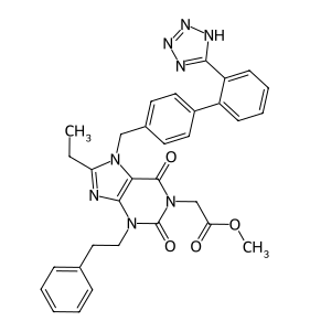 CCc1nc2c(c(=O)n(CC(=O)OC)c(=O)n2CCc2ccccc2)n1Cc1ccc(-c2ccccc2-c2nnn[nH]2)cc1